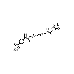 CN1CC(C(=O)NCCOCCOCCC(=O)NC2CCC(C(=O)OC(C)(C)C)CC2)CC1=O